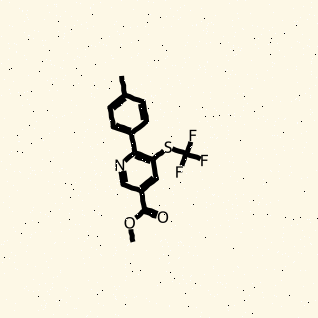 COC(=O)c1cnc(-c2ccc(C)cc2)c(SC(F)(F)F)c1